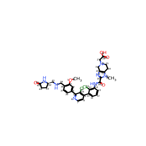 COc1cc(-c2nccc(-c3cccc(NC(=O)c4nc5c(n4C)CCN(CC(=O)O)C5)c3Cl)c2Cl)ccc1CNC[C@H]1CCC(=O)N1